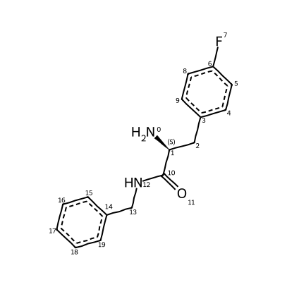 N[C@@H](Cc1ccc(F)cc1)C(=O)NCc1ccccc1